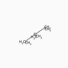 C=C.CC(C)CCCCCCCCCCOCCCCCCCCCCC(C)C